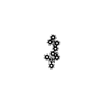 c1ccc(-c2nc(-c3ccccc3)nc(-c3cccc4sc5c(-c6ccc7c(c6)sc6c(-n8c9ccccc9c9ccccc98)cccc67)cccc5c34)n2)cc1